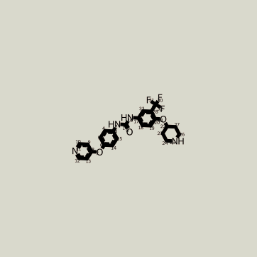 O=C(Nc1ccc(Oc2ccncc2)cc1)Nc1ccc(OC2CCNCC2)c(C(F)(F)F)c1